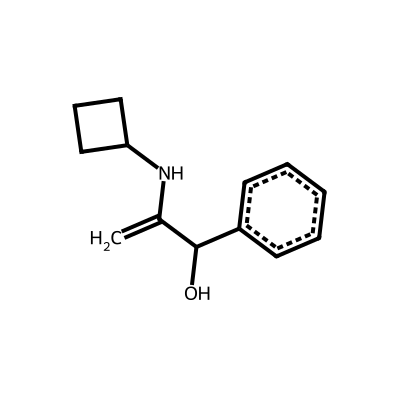 C=C(NC1CCC1)C(O)c1ccccc1